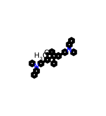 CC1(C)c2cc(-c3ccc(N(c4ccccc4)c4ccc5ccccc5c4)cc3)ccc2-c2c(-c3ccccc3)c3ccc(-c4ccc(N(c5ccccc5)c5ccc6ccccc6c5)cc4)cc3c3cccc1c23